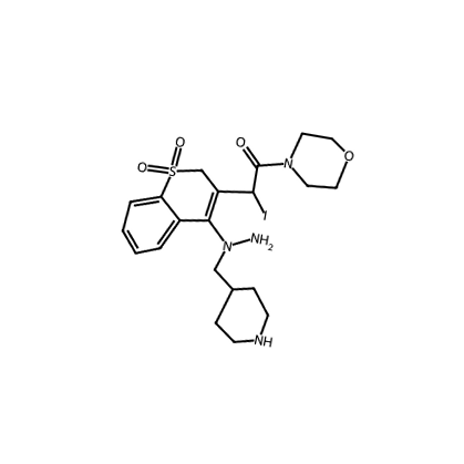 NN(CC1CCNCC1)C1=C(C(I)C(=O)N2CCOCC2)CS(=O)(=O)c2ccccc21